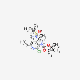 C=Cc1cc2c(c(Cl)n1)N(C(=O)OC(C)(C)C)C[C@@]2(C)N[S+]([O-])C(C)(C)C